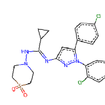 O=S1(=O)CCN(NC(=Nc2cc(-c3ccc(Cl)cc3)n(-c3ccccc3Cl)n2)C2CC2)CC1